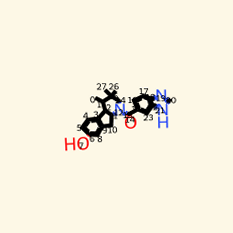 CC1C2c3ccc(O)cc3CC2N(C(=O)c2ccc3nc[nH]c3c2)CC1(C)C